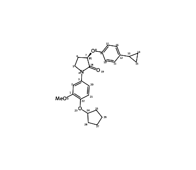 COc1cc(N2CC[C@@H](Oc3ccc(C4CC4)cc3)C2=O)ccc1OC1CCCC1